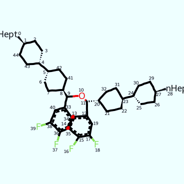 CCCCCCC[C@H]1CC[C@H]([C@H]2CC[C@H](C(OC(c3ccc(F)c(F)c3)[C@H]3CC[C@H]([C@H]4CC[C@H](CCCCCCC)CC4)CC3)c3ccc(F)c(F)c3)CC2)CC1